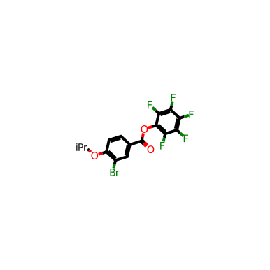 CC(C)Oc1ccc(C(=O)Oc2c(F)c(F)c(F)c(F)c2F)cc1Br